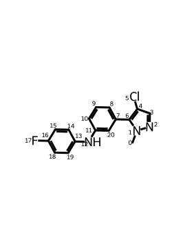 Cn1ncc(Cl)c1-c1cccc(Nc2ccc(F)cc2)c1